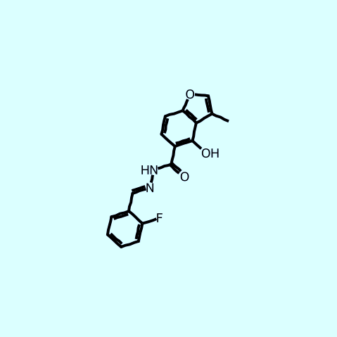 Cc1coc2ccc(C(=O)NN=Cc3ccccc3F)c(O)c12